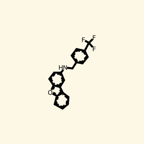 FC(F)(F)c1ccc(CNc2ccc3oc4ccccc4c3c2)cc1